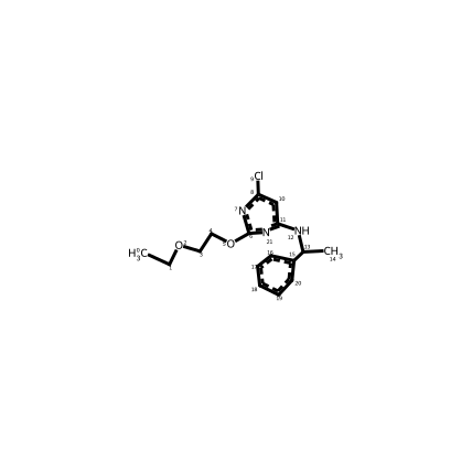 CCOCCOc1nc(Cl)cc(NC(C)c2ccccc2)n1